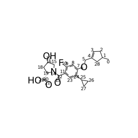 CC1CC=C(COc2cc(F)c(C(=O)N3C[C@@H](O)C[C@H]3C(=O)O)cc2C2CC2)C1